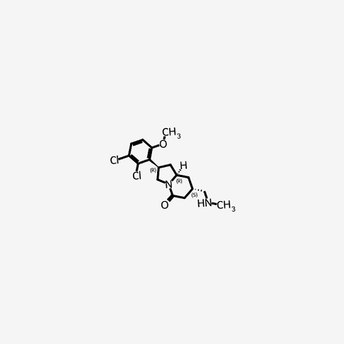 CNC[C@@H]1CC(=O)N2C[C@@H](c3c(OC)ccc(Cl)c3Cl)C[C@H]2C1